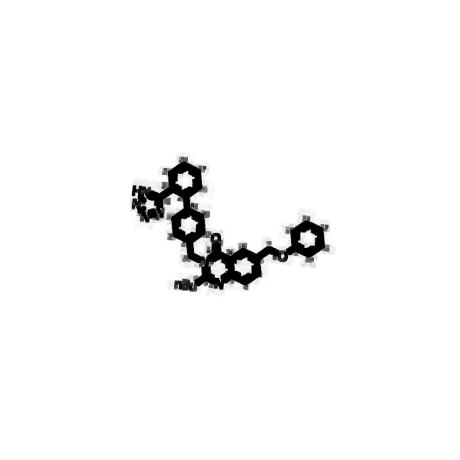 CCCCc1nc2ccc(COc3ccccc3)cc2c(=O)n1Cc1ccc(-c2ccccc2-c2nnn[nH]2)cc1